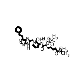 CN(C)C(=O)/C=C/CC[C@H](OC(=O)N(C)C)C(=O)Nc1cccn(Cc2nc3c(CCc4ccccc4)ncnc3[nH]2)c1=O